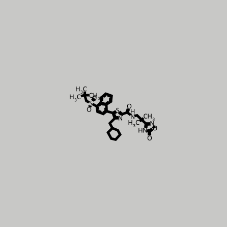 CC(C)(C)CS(=O)(=O)c1ccc(-c2sc(C(=O)NCC(C)(C)c3noc(=O)[nH]3)nc2CC2CCCCC2)c2ccccc12